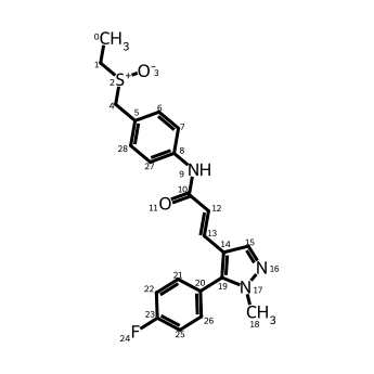 CC[S+]([O-])Cc1ccc(NC(=O)C=Cc2cnn(C)c2-c2ccc(F)cc2)cc1